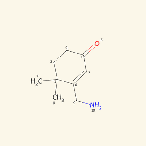 CC1(C)CCC(=O)C=C1CN